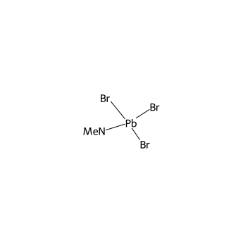 C[NH][Pb]([Br])([Br])[Br]